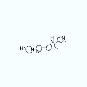 Cc1cc(-c2[nH]c3cc(-c4ccc(N5CCCNCC5)nc4)ccc3c2C)cc(C)n1